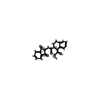 NC(=O)C1c2cc[c]cc2CCN1C(=O)CN1C(=O)c2ccccc2C1=O